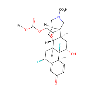 CC(C)OC(=O)OCC(=O)[C@@]12CN(C(=O)O)C[C@@H]1C[C@H]1[C@@H]3C[C@H](F)C4=CC(=O)C=C[C@]4(C)[C@@]3(F)[C@@H](O)C[C@@]12C